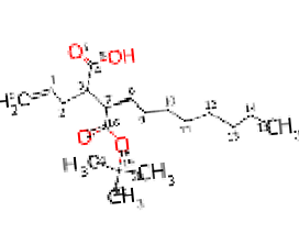 C=CCC(C(=O)O)[C@@H](CCCCCCCC)C(=O)OC(C)(C)C